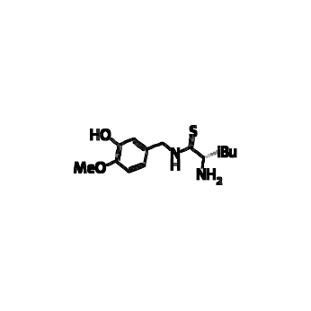 CCC(C)[C@H](N)C(=S)NCc1ccc(OC)c(O)c1